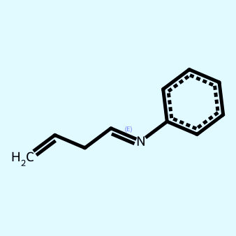 C=CC/C=N/c1ccccc1